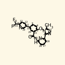 Cc1nnc2n1Oc1ccc(-c3ccc(C(F)F)nc3)cc1C(=O)Nc1cccc-2n1